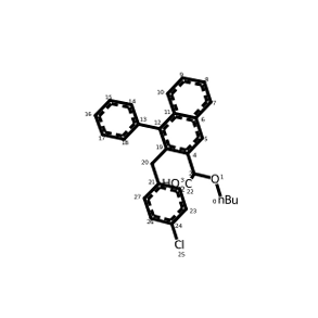 CCCCOC(C(=O)O)c1cc2ccccc2c(-c2ccccc2)c1Cc1ccc(Cl)cc1